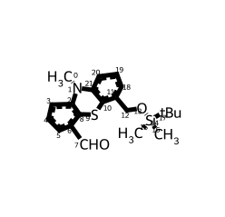 CN1c2cccc(C=O)c2Sc2c(CO[Si](C)(C)C(C)(C)C)cccc21